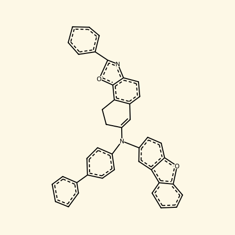 C1=C(N(c2ccc(-c3ccccc3)cc2)c2ccc3oc4ccccc4c3c2)CCc2c1ccc1nc(-c3ccccc3)oc21